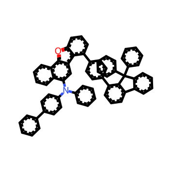 c1ccc(-c2ccc(N(c3ccccc3)c3cc4c(oc5cccc(-c6ccc(-c7cccc8c7C(c7ccccc7)(c7ccccc7)c7ccccc7-8)cc6)c54)c4ccccc34)cc2)cc1